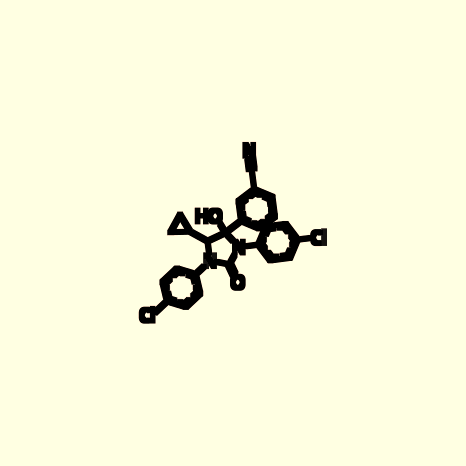 N#Cc1cccc(C2(O)C(C3CC3)N(c3ccc(Cl)cc3)C(=O)N2c2ccc(Cl)cc2)c1